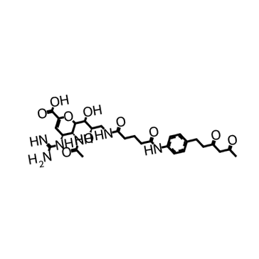 CC(=O)CC(=O)CCc1ccc(NC(=O)CCCC(=O)NC[C@@H](O)C(O)C2OC(C(=O)O)=C[C@H](NC(=N)N)[C@H]2NC(C)=O)cc1